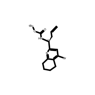 C=CC[C@H](NC(=O)OC(C)(C)C)c1cc(Br)c2c(n1)CCCC2